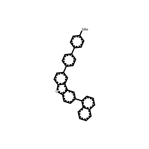 CSc1ccc(-c2ccc(-c3ccc4oc5ccc(-c6cccc7ccccc67)cc5c4c3)cc2)cc1